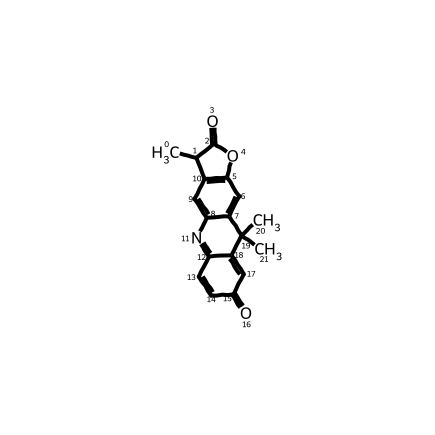 CC1C(=O)Oc2cc3c(cc21)N=C1C=CC(=O)C=C1C3(C)C